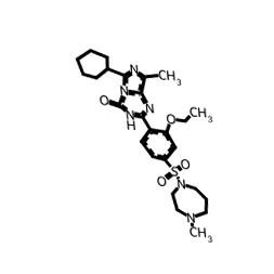 CCOc1cc(S(=O)(=O)N2CCCN(C)CC2)ccc1-c1nc2c(C)nc(C3CCCCC3)n2c(=O)[nH]1